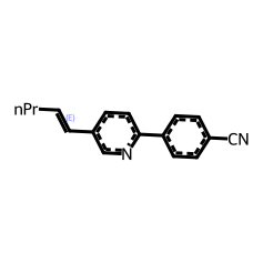 CCC/C=C/c1ccc(-c2ccc(C#N)cc2)nc1